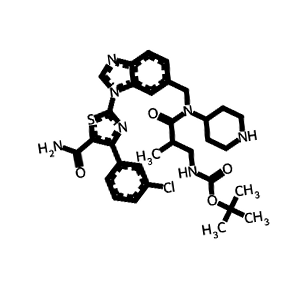 CC(CNC(=O)OC(C)(C)C)C(=O)N(Cc1ccc2ncn(-c3nc(-c4cccc(Cl)c4)c(C(N)=O)s3)c2c1)C1CCNCC1